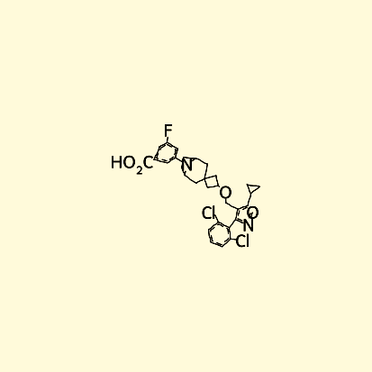 O=C(O)c1cc(F)cc(N2C3CCC2CC2(CC(OCc4c(-c5c(Cl)cccc5Cl)noc4C4CC4)C2)C3)c1